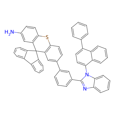 Nc1ccc2c(c1)C1(c3cc(-c4cccc(-c5nc6ccccc6n5-c5ccc(-c6ccccc6)c6ccccc56)c4)ccc3S2)c2ccccc2-c2ccccc21